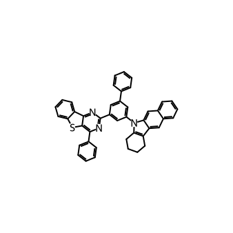 c1ccc(-c2cc(-c3nc(-c4ccccc4)c4sc5ccccc5c4n3)cc(-n3c4c(c5cc6ccccc6cc53)CCCC4)c2)cc1